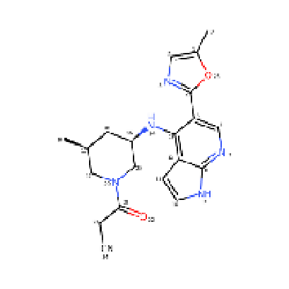 Cc1cnc(-c2cnc3[nH]ccc3c2N[C@@H]2C[C@H](C)CN(C(=O)CC#N)C2)o1